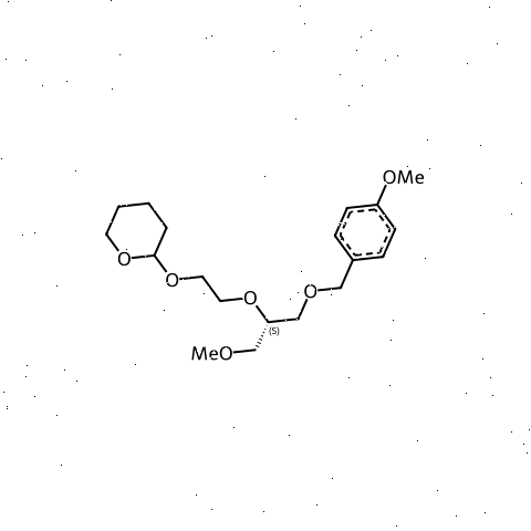 COC[C@@H](COCc1ccc(OC)cc1)OCCOC1CCCCO1